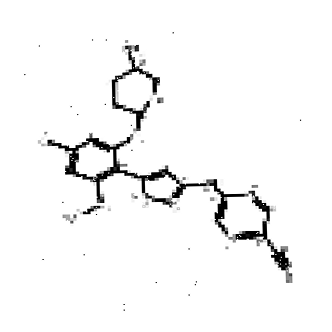 COc1cc(Cl)cc(OC2CCC(N)CC2)c1-c1cc(Nc2cnc(C#N)cn2)n[nH]1